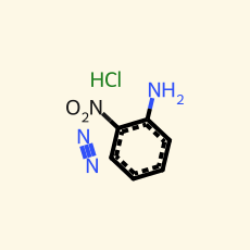 Cl.N#N.Nc1ccccc1[N+](=O)[O-]